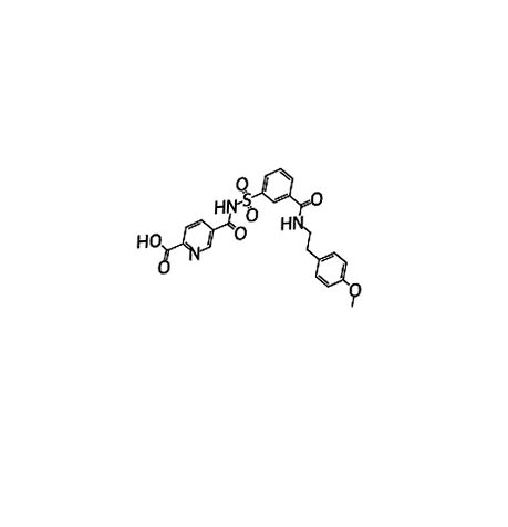 COc1ccc(CCNC(=O)c2cccc(S(=O)(=O)NC(=O)c3ccc(C(=O)O)nc3)c2)cc1